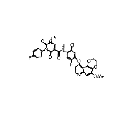 COc1cc2nccc(Oc3cc(Cl)c(NC(=O)c4cn(C(C)C)c(=O)n(-c5ccc(F)cc5)c4=O)cc3F)c2c2c1OCCO2